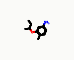 CCC(C)Oc1cc(N)ccc1C